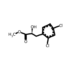 COC(=O)[C@@H](O)Cc1ccc(Cl)cc1Cl